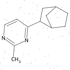 Cc1nccc(C2CC3CCC2C3)n1